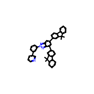 CC1(C)c2ccccc2-c2ccc(-c3cc(-c4ccc5c(c4)C(C)(C)c4ccccc4-5)c4nn(-c5cccc(-c6cccnc6)c5)nc4c3)cc21